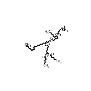 CCCCC/C=C\C/C=C\CCCCCCCCC(COC(=O)CC1CCC(OC(=O)CCCN(C)C)C1CCCCC)OC(=O)CCCCC(COC(=O)CCCCC)COC(=O)CCCCC